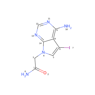 NC(=O)Cn1cc(I)c2c(N)ncnc21